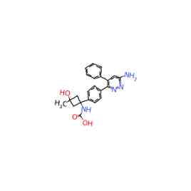 CC1(O)CC(NC(=O)O)(c2ccc(-c3nnc(N)cc3-c3ccccc3)cc2)C1